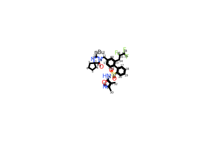 CCCCC1=NC2(CCCC2)C(=O)N1Cc1ccc(-c2ccccc2S(=O)(=O)Nc2onc(C)c2C)c(CC(F)C(F)F)c1